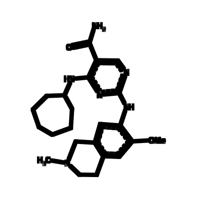 COc1cc2c(cc1Nc1ncc(C(N)=O)c(NC3CCCCCC3)n1)CN(C)CC2